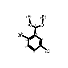 CCOC(OCC)c1cc(Cl)ccc1Br